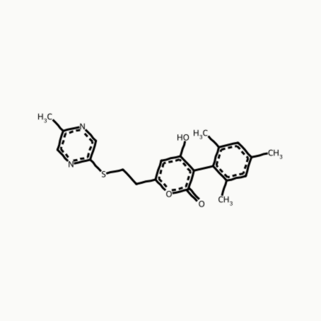 Cc1cc(C)c(-c2c(O)cc(CCSc3cnc(C)cn3)oc2=O)c(C)c1